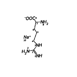 N=C(N)NCCCC(N)C(=O)[O-].[Na+]